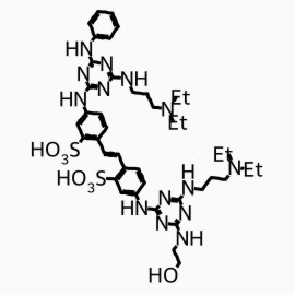 CCN(CC)CCCNc1nc(NCCO)nc(Nc2ccc(/C=C/c3ccc(Nc4nc(NCCCN(CC)CC)nc(Nc5ccccc5)n4)cc3S(=O)(=O)O)c(S(=O)(=O)O)c2)n1